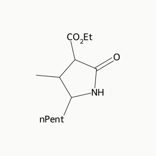 CCCCCC1NC(=O)C(C(=O)OCC)C1C